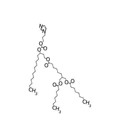 CCCCCCCCCCCCC(CCOC(=O)CCCCCC(COC(=O)CCCCCCC)COC(=O)CCCCCCC)OC(=O)OCCCn1ccnc1